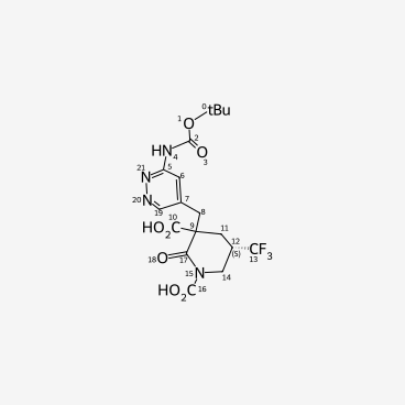 CC(C)(C)OC(=O)Nc1cc(CC2(C(=O)O)C[C@H](C(F)(F)F)CN(C(=O)O)C2=O)cnn1